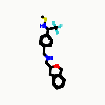 CSNC(c1ccc(CNCC2Cc3ccccc3CO2)cc1)C(F)(F)F